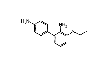 CCSc1cccc(-c2ccc(N)cc2)c1N